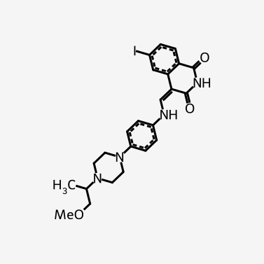 COCC(C)N1CCN(c2ccc(NC=C3C(=O)NC(=O)c4ccc(I)cc43)cc2)CC1